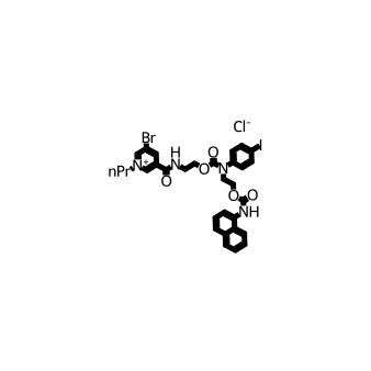 CCC[n+]1cc(Br)cc(C(=O)NCCOC(=O)N(CCOC(=O)Nc2cccc3ccccc23)c2ccc(I)cc2)c1.[Cl-]